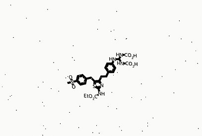 CCOC(=O)Nc1nc(CCc2ccc(NC(NC(=O)O)NC(=O)O)cc2)c(Cc2ccc(S(C)(=O)=O)cc2)s1